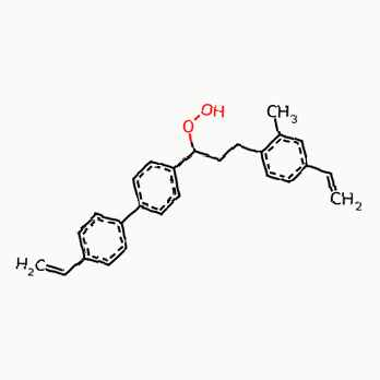 C=Cc1ccc(-c2ccc(C(CCc3ccc(C=C)cc3C)OO)cc2)cc1